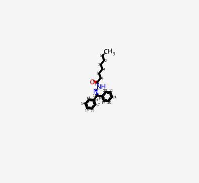 CCCCCCCC(=O)NN=C(c1ccccc1)c1ccccc1